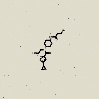 NCCC(=O)N[C@H]1CC[C@H](N(CCO)C(=O)c2cc(C3CC3)on2)CC1